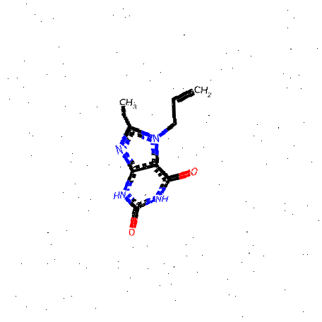 C=CCn1c(C)nc2[nH]c(=O)[nH]c(=O)c21